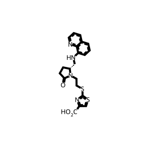 O=C(O)c1csc(SCCN2C(=O)CC[C@@H]2CNc2cccc3cccnc23)n1